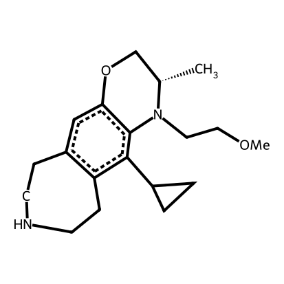 COCCN1c2c(cc3c(c2C2CC2)CCNCC3)OC[C@@H]1C